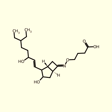 CCC(CC)CCC(O)C=CC1C(O)C[C@@H]2C(=NOCCCC(=O)O)C[C@@H]12